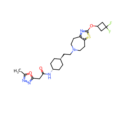 Cc1nnc(CC(=O)N[C@H]2CC[C@H](CCN3CCc4nc(OC5CC(F)(F)C5)sc4CC3)CC2)o1